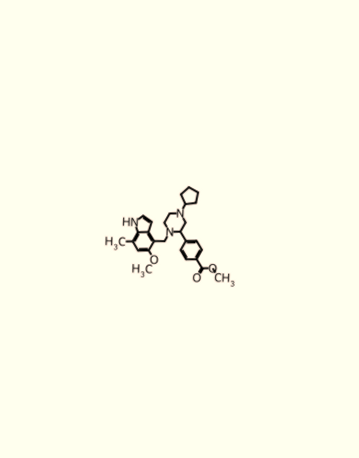 COC(=O)c1ccc(C2CN(C3CCCC3)CCN2Cc2c(OC)cc(C)c3[nH]ccc23)cc1